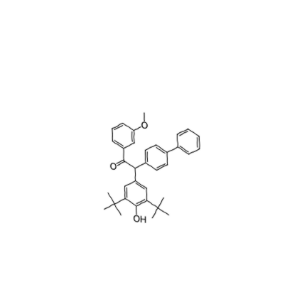 COc1cccc(C(=O)C(c2ccc(-c3ccccc3)cc2)c2cc(C(C)(C)C)c(O)c(C(C)(C)C)c2)c1